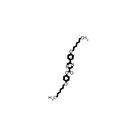 CCCCCCCOc1ccc(OC(=O)c2cnc(-c3ccc(OCCCCCCC)cc3)cn2)cc1